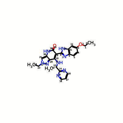 CCOc1ccc2nc(-c3c(N[C@@H](C)c4ncccn4)c4nn(CC)cc4[nH]c3=O)[nH]c2c1